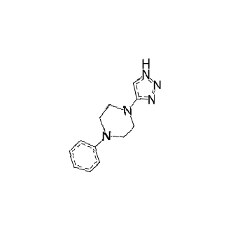 c1ccc(N2CCN(c3c[nH]nn3)CC2)cc1